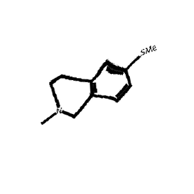 CSc1ccc2c(c1)CCN(C)C2